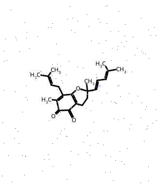 CC(C)=C/C=C/C1(C)CCC2=C(O1)C(CC=C(C)C)=C(C)C(=O)C2=O